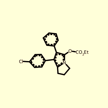 CCOC(=O)Oc1c(-c2ccccc2)c(-c2ccc(Cl)cc2)c2n1CCC2